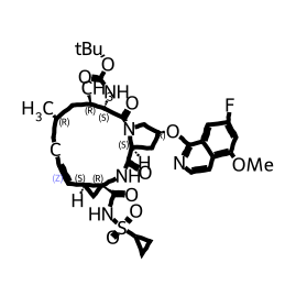 COc1cc(F)cc2c(O[C@@H]3C[C@H]4C(=O)N[C@]5(C(=O)NS(=O)(=O)C6CC6)C[C@H]5/C=C\CC[C@@H](C)C[C@@H](C)[C@H](NC(=O)OC(C)(C)C)C(=O)N4C3)nccc12